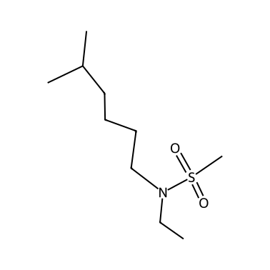 CCN(CCCCC(C)C)S(C)(=O)=O